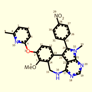 COc1c(Oc2cccc(C)n2)ccc2c1CNc1ncnc3c1c-2c(-c1ccc([N+](=O)[O-])cc1)n3C